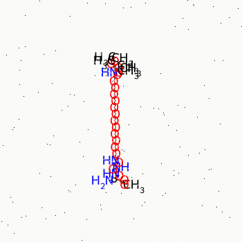 COC(=O)CCc1ccc(N)cc1C(=O)NCC(=O)NCC(=O)NCCOCCOCCOCCOCCOCCOCCOCCOCCOCCOCCOCCOCCC(=O)N[C@@H](CCC(=O)OC(C)(C)C)C(=O)OC(C)(C)C